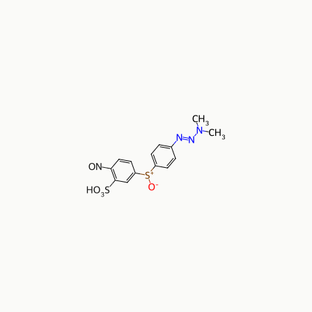 CN(C)/N=N/c1ccc([S+]([O-])c2ccc(N=O)c(S(=O)(=O)O)c2)cc1